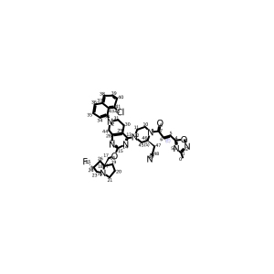 Cc1noc(/C=C/C(=O)N2CCN(c3nc(OC[C@@]45CCCN4C[C@H](F)C5)nc4c3CCN(c3cccc5cccc(Cl)c35)C4)C[C@@H]2CC#N)n1